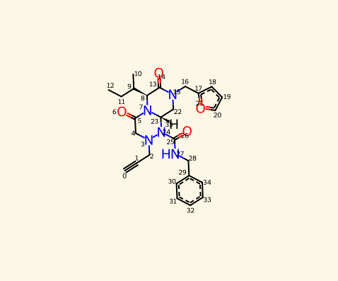 C#CCN1CC(=O)N2[C@@H](C(C)CC)C(=O)N(Cc3ccco3)C[C@@H]2N1C(=O)NCc1ccccc1